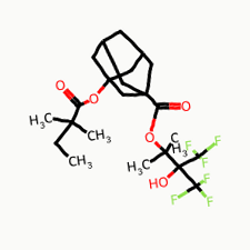 CCC(C)(C)C(=O)OC12CC3CC(C1)CC(C(=O)OC(C)(C)C(O)(C(F)(F)F)C(F)(F)F)(C3)C2